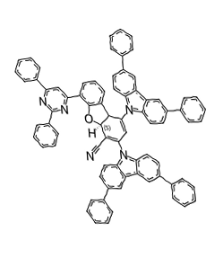 N#CC1=C(n2c3ccc(-c4ccccc4)cc3c3cc(-c4ccccc4)ccc32)C=C(n2c3ccc(-c4ccccc4)cc3c3cc(-c4ccccc4)ccc32)C2c3cccc(-c4cc(-c5ccccc5)nc(-c5ccccc5)n4)c3O[C@H]12